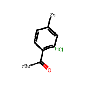 CCCCC(=O)c1cc[c]([Zn])cc1.Cl